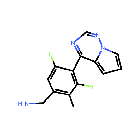 Cc1c(CN)cc(F)c(-c2ncnn3cccc23)c1F